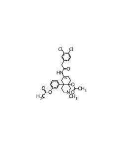 CC(=O)Oc1cccc(C23CCN(C)CC2(OC(C)=O)CC[C@H](NC(=O)Cc2ccc(Cl)c(Cl)c2)C3)c1